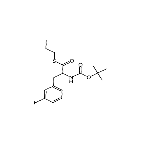 CCCSC(=O)C(Cc1cccc(F)c1)NC(=O)OC(C)(C)C